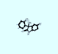 O=C1Nc2ccc(Cl)cc2C1(O)c1ccccc1C(F)(F)F